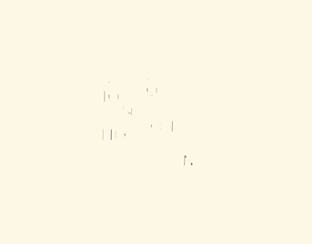 CCO[Si](O)(O)O.C[N+](C)(C)C